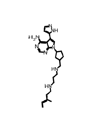 C/C=C(\C)CCNCCCNCC1CCC(n2cc(-c3ccn[nH]3)c3c(N)ncnc32)C1